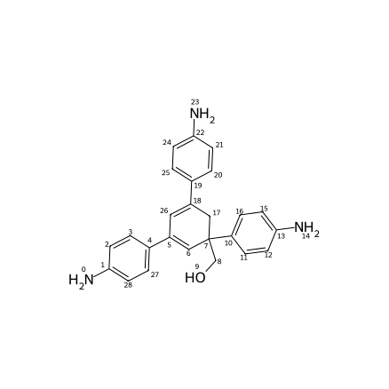 Nc1ccc(C2=CC(CO)(c3ccc(N)cc3)CC(c3ccc(N)cc3)=C2)cc1